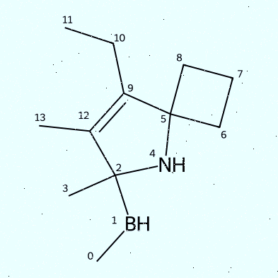 CBC1(C)NC2(CCC2)C(CC)=C1C